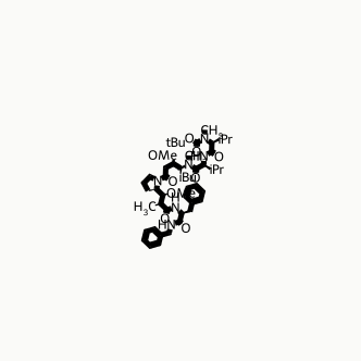 CC[C@H](C)[C@@H]([C@@H](CC(=O)N1CCC[C@H]1[C@H](OC)[C@@H](C)C(=O)N[C@@H](Cc1ccccc1)C(=O)NCc1ccccc1)OC)N(C)C(=O)[C@@H](NC(=O)[C@H](C(C)C)N(C)C(=O)OC(C)(C)C)C(C)C